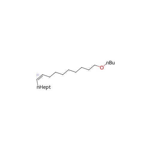 CCCCCCC/C=C\CCCCCCCCOCCCC